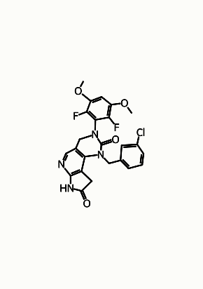 COc1cc(OC)c(F)c(N2Cc3cnc4c(c3N(Cc3cccc(Cl)c3)C2=O)CC(=O)N4)c1F